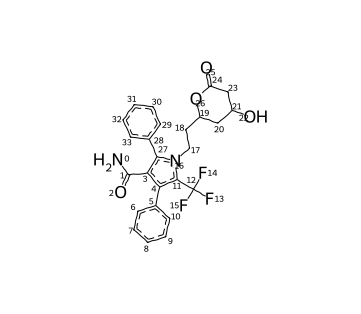 NC(=O)c1c(-c2ccccc2)c(C(F)(F)F)n(CCC2CC(O)CC(=O)O2)c1-c1ccccc1